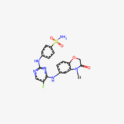 CCN1C(=O)COc2ccc(Nc3nc(Nc4ccc(S(N)(=O)=O)cc4)ncc3F)cc21